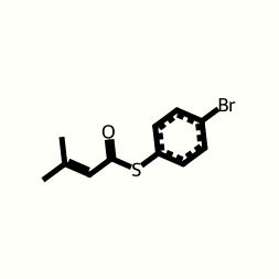 CC(C)=CC(=O)Sc1ccc(Br)cc1